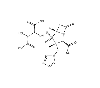 C[C@]1(Cn2ccnn2)[C@H](C(=O)O)N2C(=O)C[C@H]2S1(=O)=O.O=C(O)C(O)C(O)C(=O)O